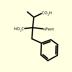 CCCCCC(Cc1ccccc1)(C(=O)O)C(C)C(=O)O